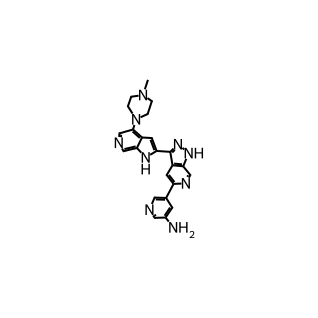 CN1CCN(c2cncc3[nH]c(-c4n[nH]c5cnc(-c6cncc(N)c6)cc45)cc23)CC1